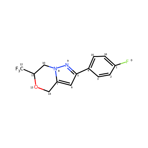 Fc1ccc(-c2cc3n(n2)CC(C(F)(F)F)OC3)cc1